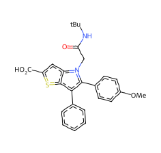 COc1ccc(-c2c(-c3ccccc3)c3sc(C(=O)O)cc3n2CC(=O)NC(C)(C)C)cc1